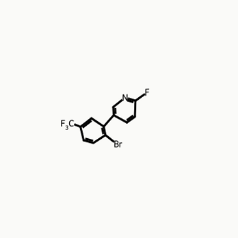 Fc1ccc(-c2cc(C(F)(F)F)ccc2Br)cn1